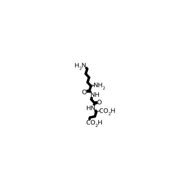 NCCCC[C@H](N)C(=O)NCC(=O)N[C@@H](CCC(=O)O)C(=O)O